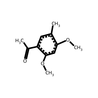 COc1cc(OC)c(C(C)=O)cc1C